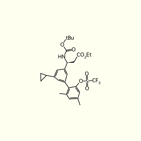 CCOC(=O)C[C@H](NC(=O)OC(C)(C)C)c1cc(-c2c(C)cc(C)cc2OS(=O)(=O)C(F)(F)F)cc(C2CC2)c1